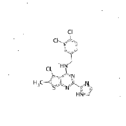 Cc1sc2nc(-c3ncc[nH]3)nc(NCc3ccc(Cl)c(Cl)c3)c2c1Cl